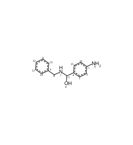 Nc1ccc(C(O)NCc2ccccc2)cc1